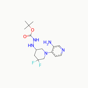 CC(C)(C)OC(=O)NNC1CN(c2ccncc2N)CC(F)(F)C1